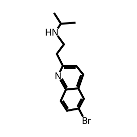 CC(C)NCCc1ccc2cc(Br)ccc2n1